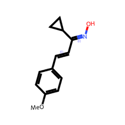 COc1ccc(/C=C/C(=N/O)C2CC2)cc1